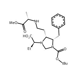 CC[C@@H](C(=O)O)N1CN(C(=O)OC(C)(C)C)[C@@H](Cc2ccccc2)[C@H]1CCN[C@@H](C)C(=O)OC